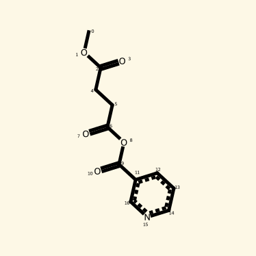 COC(=O)CCC(=O)OC(=O)c1cccnc1